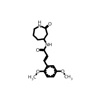 COc1ccc(OC)c(C=CC(=O)NC2CCCNC(=O)C2)c1